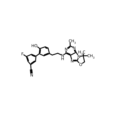 Cc1nc(NCCc2ccc(O)c(-c3cc(F)cc(C#N)c3)c2)c2nc3n(c2n1)C(C)(C)CO3